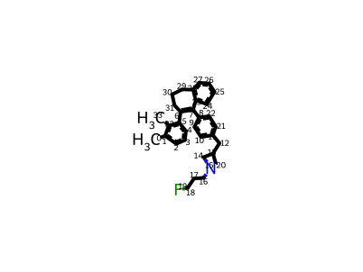 Cc1cccc(C2=C(c3ccc(CC4CN(CCCF)C4)cc3)c3ccccc3CCC2)c1C